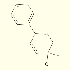 CC1(O)C=CC(c2ccccc2)=CC1